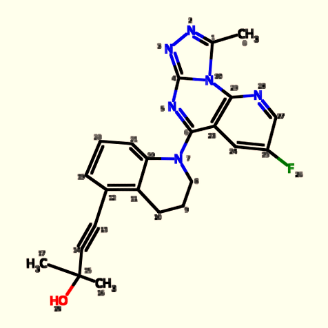 Cc1nnc2nc(N3CCCc4c(C#CC(C)(C)O)cccc43)c3cc(F)cnc3n12